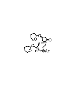 CCCCC[C@@H](C=C[C@@H]1[C@@H](OC2CCCCO2)CC(=O)[C@H]1CCOC(C)=O)OC1CCCCO1